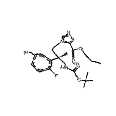 CCOC(=O)c1cncn1C[C@](C)(NC(=O)OC(C)(C)C)c1cc(Br)ccc1F